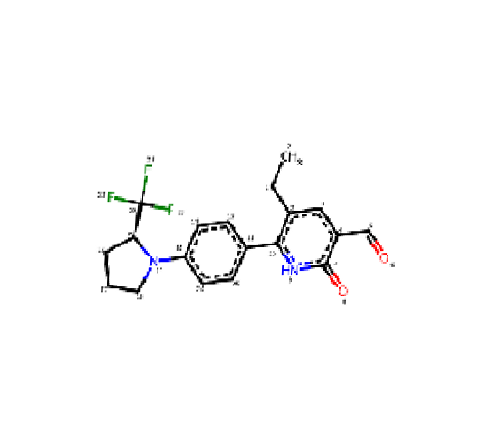 CCc1cc(C=O)c(=O)[nH]c1-c1ccc(N2CCC[C@H]2C(F)(F)F)cc1